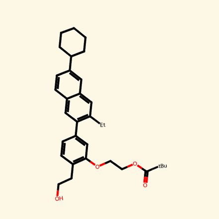 CCc1cc2cc(C3CCCCC3)ccc2cc1-c1ccc(CCO)c(OCCOC(=O)C(C)(C)C)c1